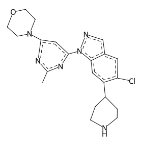 Cc1nc(N2CCOCC2)cc(-n2ncc3cc(Cl)c(C4CCNCC4)cc32)n1